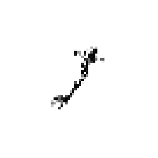 C/C=C(/COCCOCCOCCOc1ccc(N2CCN(CC3OC(O)C[C@@H](O)[C@H]3C)CC2)cc1)N=N